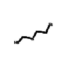 CCCCSCS